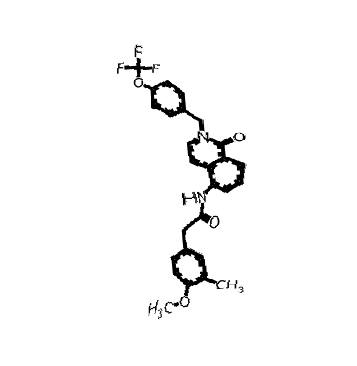 COc1ccc(CC(=O)Nc2cccc3c(=O)n(Cc4ccc(OC(F)(F)F)cc4)ccc23)cc1C